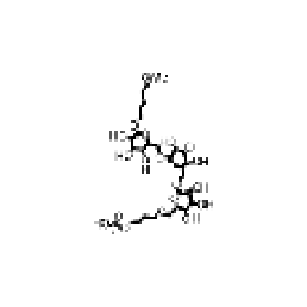 COCCCCCOC1OC(COC2OC(COC3OC(COCCCCOP(C)(=O)O)C(O)C(O)C3O)C(O)C(O)C2O)C(O)C(O)C1O